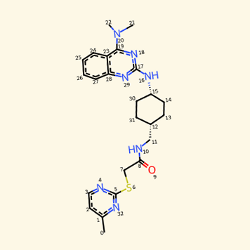 Cc1ccnc(SCC(=O)NC[C@H]2CC[C@@H](Nc3nc(N(C)C)c4ccccc4n3)CC2)n1